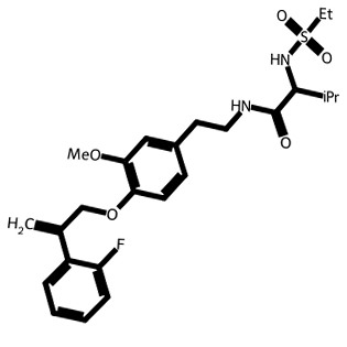 C=C(COc1ccc(CCNC(=O)C(NS(=O)(=O)CC)C(C)C)cc1OC)c1ccccc1F